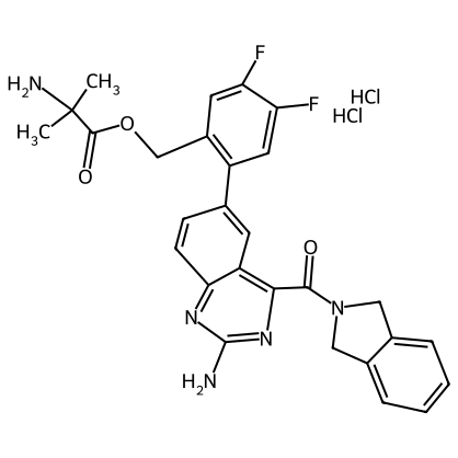 CC(C)(N)C(=O)OCc1cc(F)c(F)cc1-c1ccc2nc(N)nc(C(=O)N3Cc4ccccc4C3)c2c1.Cl.Cl